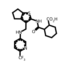 O=C(O)C1CCCCC1C(=O)Nc1sc2c(c1CNc1ccc(C(F)(F)F)nc1)CCC2